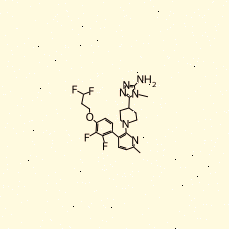 Cc1ccc(-c2ccc(OCCC(F)F)c(F)c2F)c(N2CCC(c3nnc(N)n3C)CC2)n1